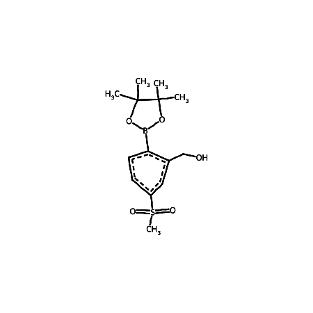 CC1(C)OB(c2ccc(S(C)(=O)=O)cc2CO)OC1(C)C